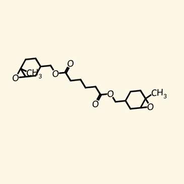 CC12CCC(COC(=O)CCCCC(=O)OCC3CCC4(C)OC4C3)CC1O2